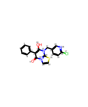 O=c1c(-c2ccccc2)c(O)n(Cc2ccc(Cl)nc2)c2scc[n+]12